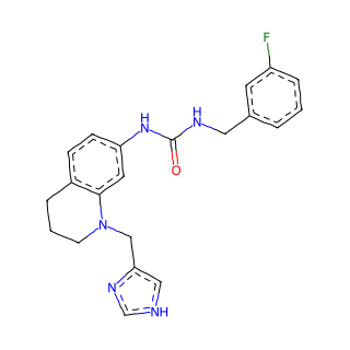 O=C(NCc1cccc(F)c1)Nc1ccc2c(c1)N(Cc1c[nH]cn1)CCC2